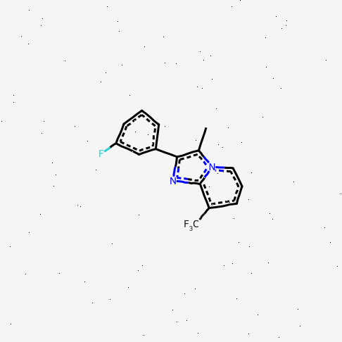 Cc1c(-c2cccc(F)c2)nc2c(C(F)(F)F)cccn12